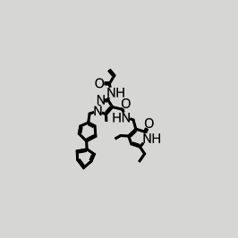 C=CC(=O)Nc1nn(Cc2ccc(-c3ccccc3)cc2)c(C)c1C(=O)NCc1c(CC)cc(CC)[nH]c1=O